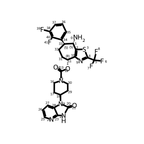 N[C@@H]1c2sc(C(F)(F)F)nc2[C@H](OC(=O)N2CCC(n3c(=O)[nH]c4ncccc43)CC2)CC[C@H]1c1cccc(F)c1F